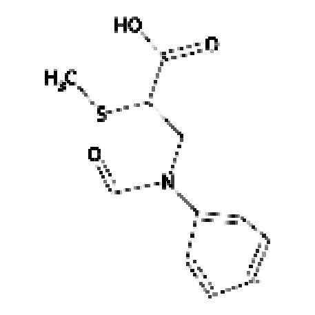 CSC(CN(C=O)c1cc[c]cc1)C(=O)O